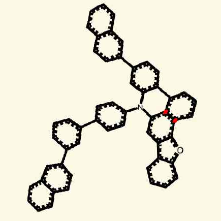 c1ccc(-c2ccc(-c3ccc4ccccc4c3)cc2N(c2ccc(-c3cccc(-c4ccc5ccccc5c4)c3)cc2)c2ccc3oc4ccccc4c3c2)cc1